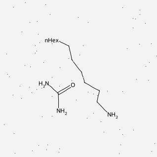 CCCCCCCCCCCCN.NC(N)=O